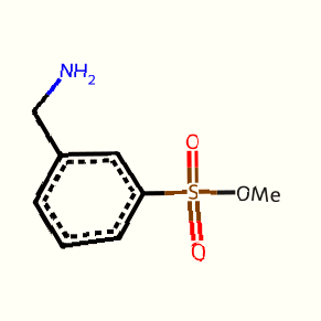 [CH2]OS(=O)(=O)c1cccc(CN)c1